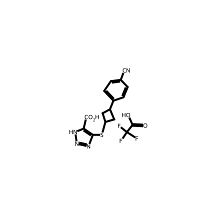 N#Cc1ccc(C2CC(Sc3nn[nH]c3C(=O)O)C2)cc1.O=C(O)C(F)(F)F